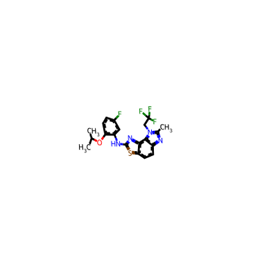 Cc1nc2ccc3sc(Nc4cc(F)ccc4OC(C)C)nc3c2n1CC(F)(F)F